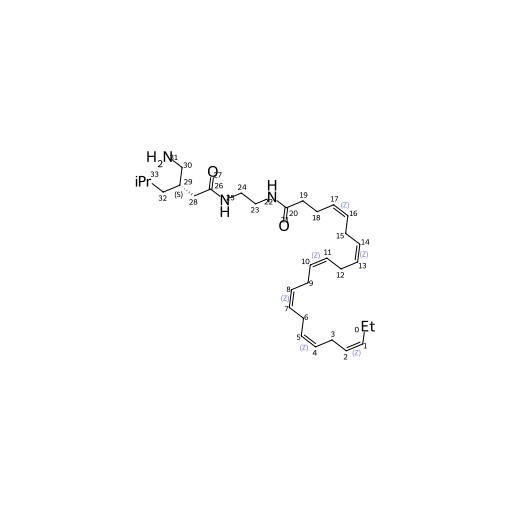 CC/C=C\C/C=C\C/C=C\C/C=C\C/C=C\C/C=C\CCC(=O)NCCNC(=O)C[C@@H](CN)CC(C)C